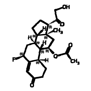 CC(=O)O[C@@H]1C[C@]2(C)[C@@H](C(=O)CO)CC[C@H]2[C@@H]2C[C@H](F)C3=CC(=O)CC[C@@H]3[C@H]21